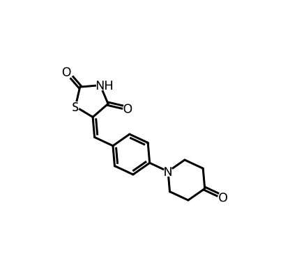 O=C1CCN(c2ccc(C=C3SC(=O)NC3=O)cc2)CC1